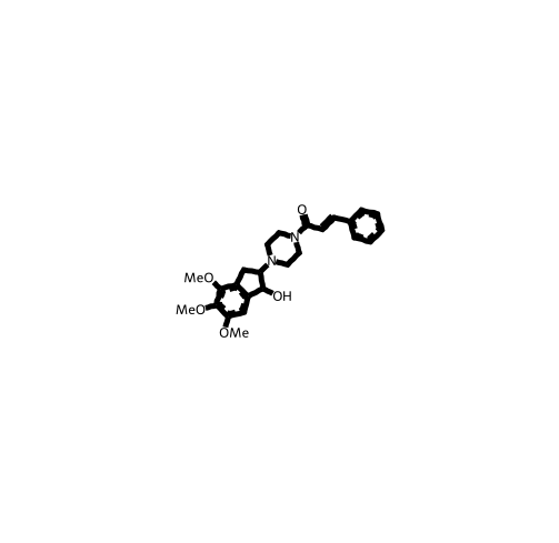 COc1cc2c(c(OC)c1OC)CC(N1CCN(C(=O)C=Cc3ccccc3)CC1)C2O